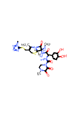 CCN1CCN(C(=O)NC(C(=O)N[C@]2(NC=O)C(=O)N3C(C(=O)O)=C(CSc4nnnn4C)CS[C@@H]32)c2ccc(O)c(O)c2)C(=O)C1=O